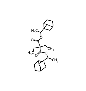 CCC(CC)(C(=O)OC(C)C1CC2CCC1CC2)C(=O)OC(C)C1CC2CCC1CC2